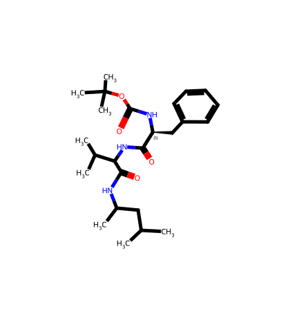 CC(C)CC(C)NC(=O)C(NC(=O)[C@H](Cc1ccccc1)NC(=O)OC(C)(C)C)C(C)C